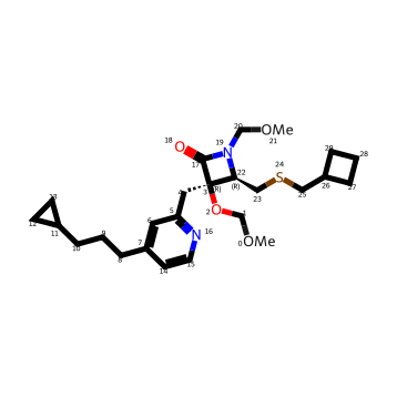 COCO[C@@]1(Cc2cc(CCCC3CC3)ccn2)C(=O)N(COC)[C@H]1CSCC1CCC1